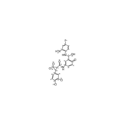 Nc1cc(F)ccc1NC(O)c1cc(NC(=O)C2C(c3ccc(Cl)c(Cl)c3)C2(Cl)Cl)ccc1Cl